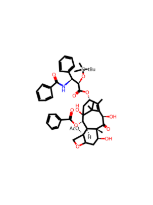 CC(=O)O[C@@]12COC1C[C@H](O)[C@@]1(C)C(=O)[C@H](O)C3=C(C)[C@@H](OC(=O)[C@H](O[Si](C)(C)C(C)(C)C)[C@@H](NC(=O)c4ccccc4)c4ccccc4)C[C@@](O)([C@@H](OC(=O)c4ccccc4)[C@@H]12)C3(C)C